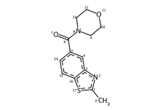 Cc1nc2cc(C(=O)N3CCOCC3)ccc2s1